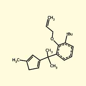 C=CCOc1c(C(C)(C)C)cccc1C(C)(C)C1=CCC(C)=C1